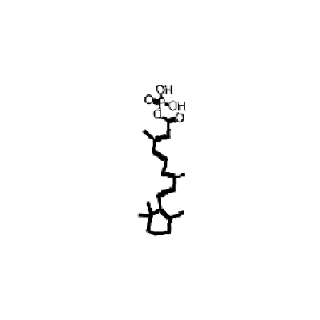 CC(C=CC1=C(C)CCCC1(C)C)=CC=CC(C)=CC(=O)OP(=O)(O)O